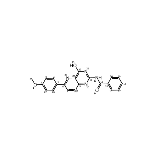 COc1ccc(-c2cnc3nc(NC(=O)c4ccccc4)nc(O)c3n2)cc1